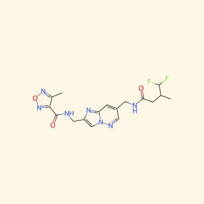 Cc1nonc1C(=O)NCc1cn2ncc(CNC(=O)CC(C)C(F)F)cc2n1